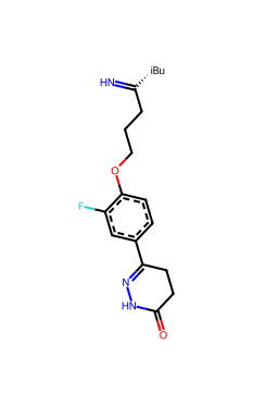 CC[C@@H](C)C(=N)CCCOc1ccc(C2=NNC(=O)CC2)cc1F